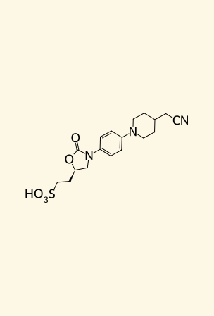 N#CCC1CCN(c2ccc(N3C[C@@H](CCS(=O)(=O)O)OC3=O)cc2)CC1